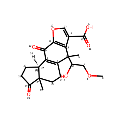 COCC(O)C1(C)C2=C(C(=O)c3occ(C(=O)O)c31)[C@@H]1CCC(=O)C1(C)CC2